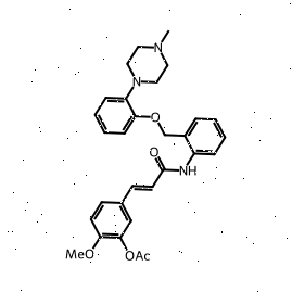 COc1ccc(C=CC(=O)Nc2ccccc2COc2ccccc2N2CCN(C)CC2)cc1OC(C)=O